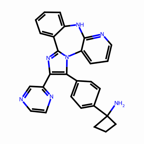 NC1(c2ccc(-c3c(-c4cnccn4)nc4n3-c3cccnc3Nc3ccccc3-4)cc2)CCC1